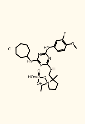 CC[N+]1(OP(=O)(O)O)CCCC1(C)CNc1nc(Nc2ccc(OC)c(F)c2)nc(NC2CCCCCC2)n1.[Cl-]